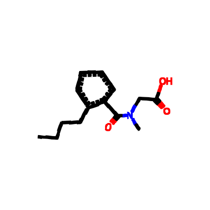 CCCCc1ccccc1C(=O)N(C)CC(=O)O